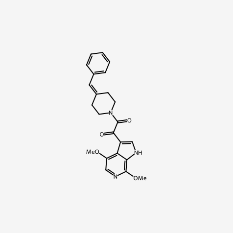 COc1ncc(OC)c2c(C(=O)C(=O)N3CCC(=Cc4ccccc4)CC3)c[nH]c12